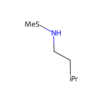 CSNCCC(C)C